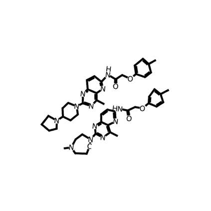 Cc1ccc(OCC(=O)Nc2ccc3nc(N4CCC(N5CCCC5)CC4)nc(C)c3n2)cc1.Cc1ccc(OCC(=O)Nc2ccc3nc(N4CCCN(C)CC4)nc(C)c3n2)cc1